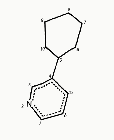 [c]1cncc(C2CCCCC2)c1